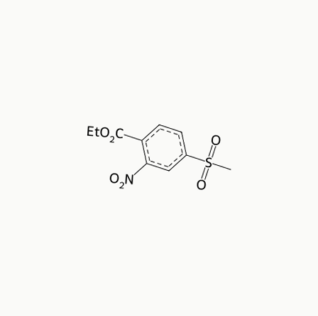 CCOC(=O)c1ccc(S(C)(=O)=O)cc1[N+](=O)[O-]